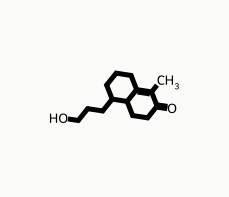 CC1=C2CCCC(CCCO)C2CCC1=O